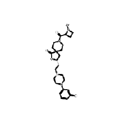 CC(=O)N1CCC1C(=O)N1CCC2(CC1)C[C@H](CCN1CCN(c3cccc(Cl)c3)CC1)OC2=O